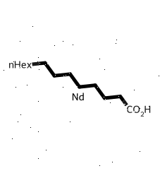 CCCCCCCCCCCCCC(=O)O.[Nd]